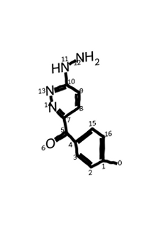 Cc1ccc(C(=O)c2ccc(NN)nn2)cc1